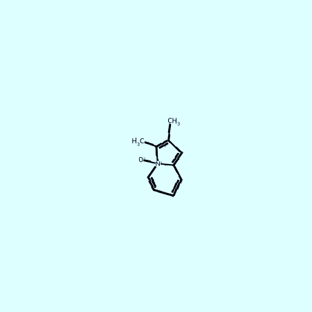 CC1=C(C)[N+]2([O-])C=CC=CC2=C1